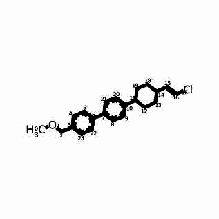 COCc1ccc(-c2ccc(C3CCC(/C=C/Cl)CC3)cc2)cc1